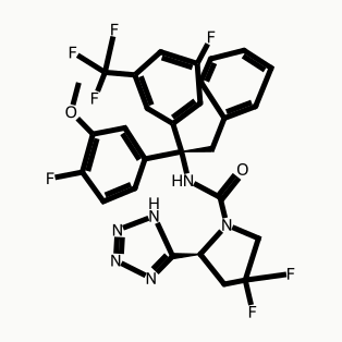 COc1cc([C@@](Cc2ccccc2)(NC(=O)N2CC(F)(F)C[C@H]2c2nnn[nH]2)c2cc(F)cc(C(F)(F)F)c2)ccc1F